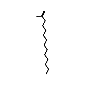 C=C(C)CCCCCCCCCCCC